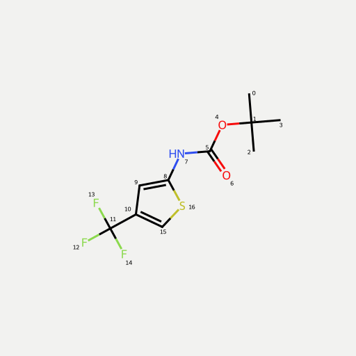 CC(C)(C)OC(=O)Nc1cc(C(F)(F)F)cs1